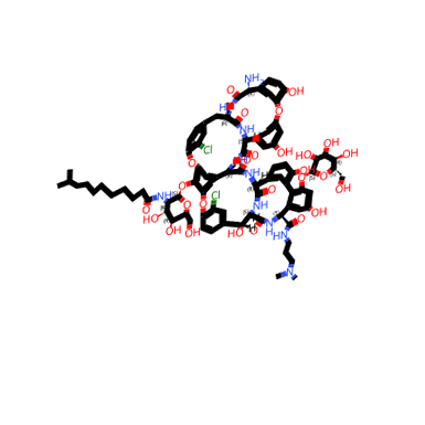 CC(C)CCCCCCCCC(=O)NC1[C@H](Oc2c3cc4cc2Oc2ccc(cc2Cl)[C@@H](O)[C@@H]2NC(=O)[C@H](NC(=O)[C@@H]4NC(=O)[C@H]4NC(=O)[C@@H](Cc5ccc(c(Cl)c5)O3)NC(=O)[C@H](N)c3ccc(O)c(c3)Oc3cc(O)cc4c3)c3ccc(O)c(c3)-c3c(O[C@@H]4O[C@@H](CO)[C@H](O)C(O)C4O)cc(O)cc3[C@@H](C(=O)NCCCN(C)C)NC2=O)OC(CO)[C@H](O)[C@@H]1O